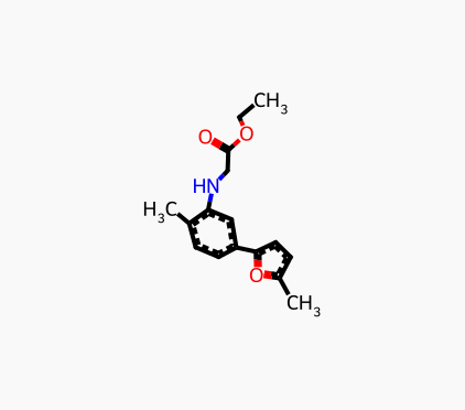 CCOC(=O)CNc1cc(-c2ccc(C)o2)ccc1C